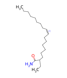 CCCCCCCC/C=C\CCCCCCC(CC)C(N)=O